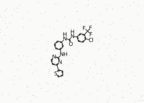 O=C(Nc1cccc(Nc2nccc(-c3cccs3)n2)c1)Nc1ccc(Cl)c(C(F)(F)F)c1